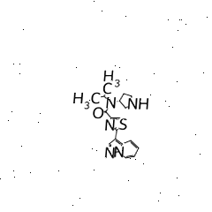 CC(C)N(C(=O)c1csc(-c2cnn3ccccc23)n1)[C@@H]1CCNC1